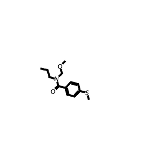 CCCN(COC)C(=O)c1ccc(SC)cc1